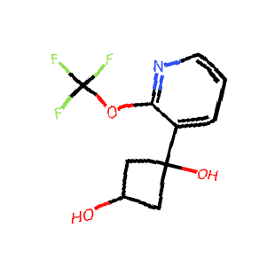 OC1CC(O)(c2cccnc2OC(F)(F)F)C1